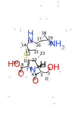 C[C@@H](O)[C@H]1C(=O)N2C(C(=O)O)=C(S[C@@H]3CN[C@H]([C@@H]4C[C@H]4N)C3)[C@H](C)[C@H]12